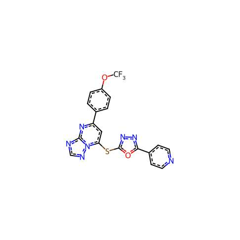 FC(F)(F)Oc1ccc(-c2cc(Sc3nnc(-c4ccncc4)o3)n3ncnc3n2)cc1